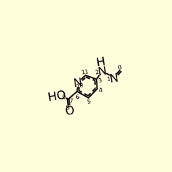 C=NNc1ccc(C(=O)O)nc1